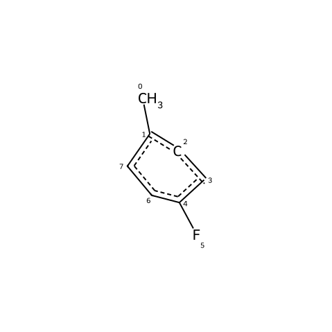 Cc1c[c]c(F)cc1